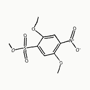 COc1cc(S(=O)(=O)OC)c(OC)cc1[N+](=O)[O-]